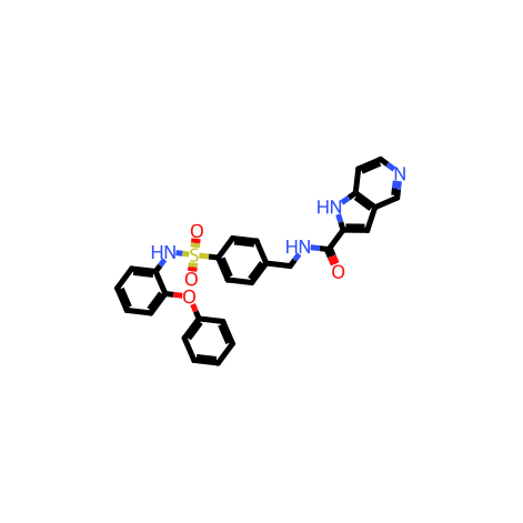 O=C(NCc1ccc(S(=O)(=O)Nc2ccccc2Oc2ccccc2)cc1)c1cc2cnccc2[nH]1